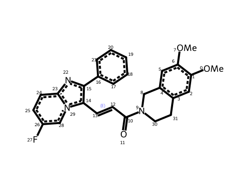 COc1cc2c(cc1OC)CN(C(=O)/C=C/c1c(-c3ccccc3)nc3ccc(F)cn13)CC2